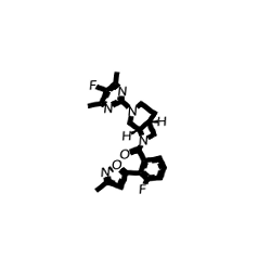 Cc1cc(-c2c(F)cccc2C(=O)N2C[C@H]3CCN(c4nc(C)c(F)c(C)n4)C[C@H]32)on1